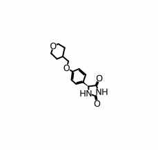 O=C1NC(=O)[C@H](c2ccc(OCC3CCOCC3)cc2)N1